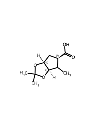 CC1[C@H]2OC(C)(C)O[C@H]2C[C@H]1C(=O)O